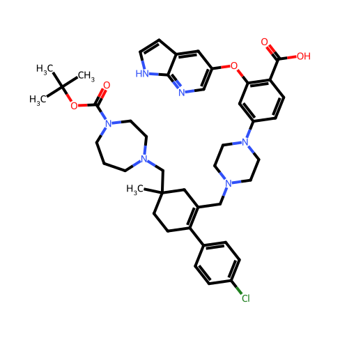 CC1(CN2CCCN(C(=O)OC(C)(C)C)CC2)CCC(c2ccc(Cl)cc2)=C(CN2CCN(c3ccc(C(=O)O)c(Oc4cnc5[nH]ccc5c4)c3)CC2)C1